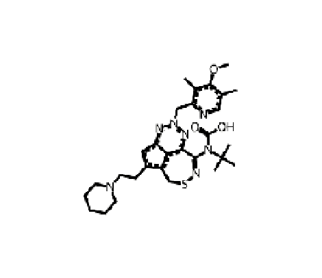 COc1c(C)cnc(Cn2nc3cc(CCN4CCCCC4)c4c-3c(n2)C(N(C(=O)O)C(C)(C)C)=NSC4)c1C